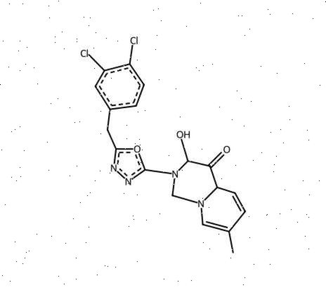 CC1=CN2CN(c3nnc(Cc4ccc(Cl)c(Cl)c4)o3)C(O)C(=O)C2C=C1